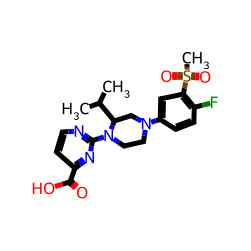 CC(C)C1CN(c2ccc(F)c(S(C)(=O)=O)c2)CCN1c1nccc(C(=O)O)n1